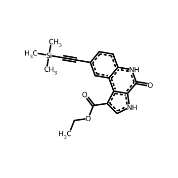 CCOC(=O)c1c[nH]c2c(=O)[nH]c3ccc(C#C[Si](C)(C)C)cc3c12